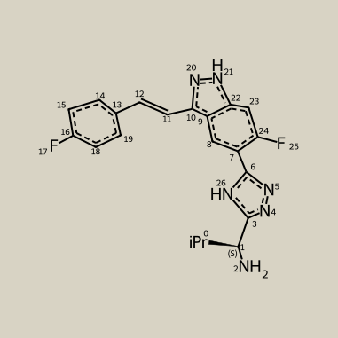 CC(C)[C@H](N)c1nnc(-c2cc3c(C=Cc4ccc(F)cc4)n[nH]c3cc2F)[nH]1